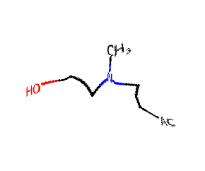 CC(=O)CCN(C)CCO